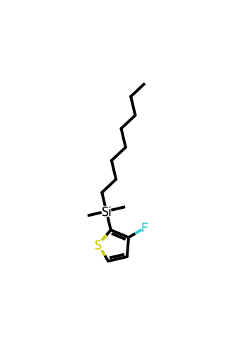 CCCCCCCC[Si](C)(C)c1sccc1F